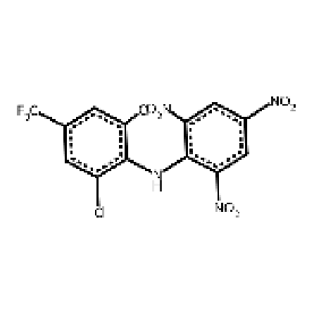 O=[N+]([O-])c1cc([N+](=O)[O-])c(Nc2c(Cl)cc(C(F)(F)F)cc2Cl)c([N+](=O)[O-])c1